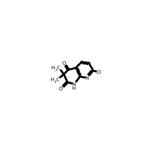 CC1(C)C(=O)Nc2nc(Cl)ccc2C1=O